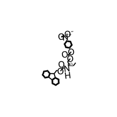 CC[C@@H](COC(=O)Oc1ccc([N+](=O)[O-])cc1)NC(=O)OCC1c2ccccc2-c2ccccc21